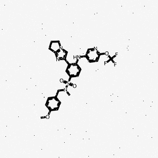 COc1ccc(CN(C)S(=O)(=O)c2ccc(Nc3ccc(OC(F)(F)F)nc3)c(-c3cn4c(n3)CCC4)c2)cc1